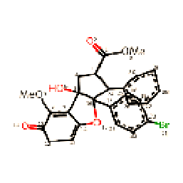 COC(=O)C1CC2(O)C3=C(OC)C(=O)CC=C3OC2(c2ccc(Br)cc2)C1c1ccccc1